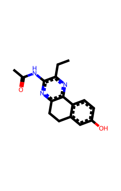 CCc1nc2c(nc1NC(C)=O)CCc1cc(O)ccc1-2